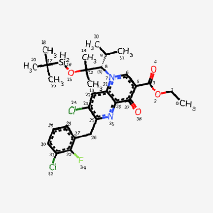 CCOC(=O)c1cn([C@@H](C(C)C)C(C)(C)O[SiH2]C(C)(C)C)c2cc(Cl)c(Cc3cccc(Cl)c3F)nc2c1=O